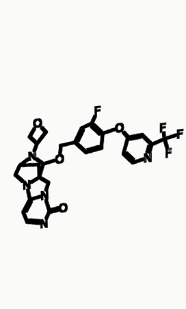 O=c1nccc2n1CC13CC(CN21)N(C1COC1)C3OCc1ccc(Oc2ccnc(C(F)(F)F)c2)c(F)c1